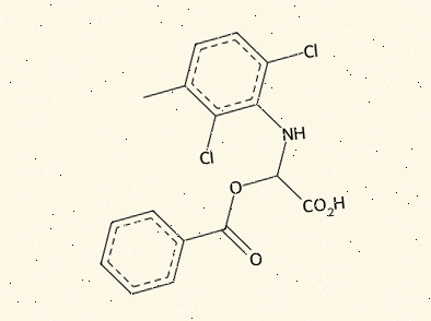 Cc1ccc(Cl)c(NC(OC(=O)c2ccccc2)C(=O)O)c1Cl